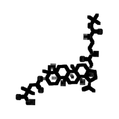 C=C(C)[C@@H]1CC[C@]2(CC(=O)NCCNC(=O)OC(C)(C)C)CC[C@]3(C)[C@H](CC[C@@H]4[C@@]5(C)CC[C@H](OC(=O)CC(C)(C)C(=O)O)C(C)(C)[C@@H]5CC[C@]43C)[C@@H]12